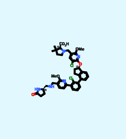 COc1nc(-c2cccc(-c3cccc4c3CC[C@@H]4Oc3nc(OC)c(CN4CCC(C)(C)[C@H]4C(=O)O)cc3Cl)c2Cl)ccc1CNC[C@@H]1CCC(=O)N1